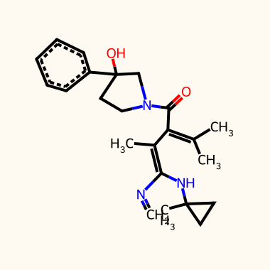 C=N/C(NC1(C)CC1)=C(\C)C(C(=O)N1CCC(O)(c2ccccc2)C1)=C(C)C